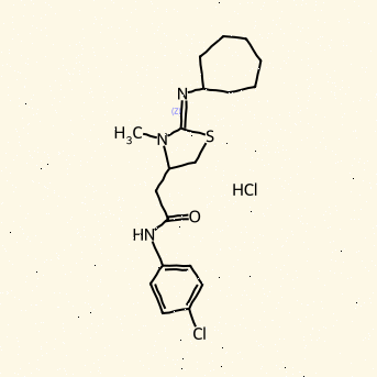 CN1/C(=N/C2CCCCCC2)SCC1CC(=O)Nc1ccc(Cl)cc1.Cl